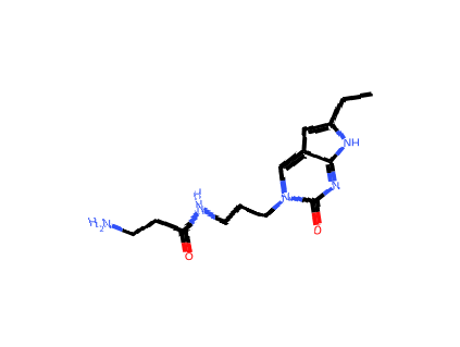 CCc1cc2cn(CCCNC(=O)CCN)c(=O)nc2[nH]1